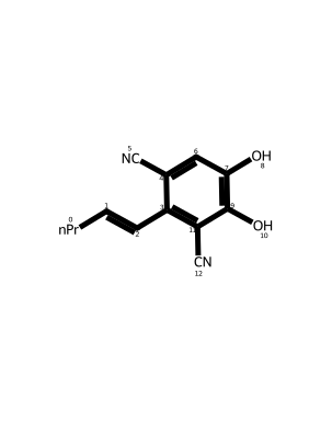 CCC/C=C/c1c(C#N)cc(O)c(O)c1C#N